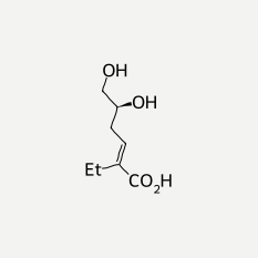 CC/C(=C\C[C@H](O)CO)C(=O)O